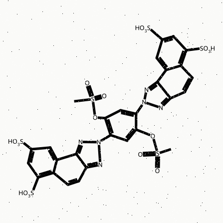 CS(=O)(=O)Oc1cc(-n2nc3ccc4c(S(=O)(=O)O)cc(S(=O)(=O)O)cc4c3n2)c(OS(C)(=O)=O)cc1-n1nc2ccc3c(S(=O)(=O)O)cc(S(=O)(=O)O)cc3c2n1